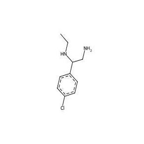 CCNC(CN)c1ccc(Cl)cc1